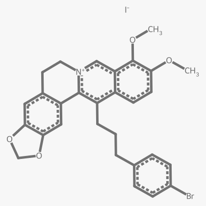 COc1ccc2c(CCCc3ccc(Br)cc3)c3[n+](cc2c1OC)CCc1cc2c(cc1-3)OCO2.[I-]